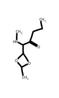 CCCC(=O)C(NC)C1OC(C)O1